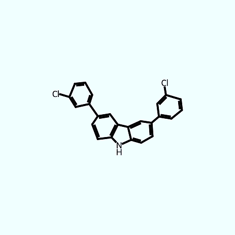 Clc1cccc(-c2ccc3[nH]c4ccc(-c5cccc(Cl)c5)cc4c3c2)c1